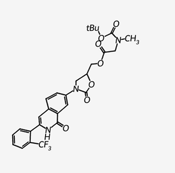 CN(CC(=O)OCC1CN(c2ccc3cc(-c4ccccc4C(F)(F)F)[nH]c(=O)c3c2)C(=O)O1)C(=O)OC(C)(C)C